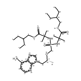 CCC(CC)COC(=O)C(C)(C)NP(=O)(CO[C@H](C)Cn1cnc2c(N)ccnc21)NC(C)(C)C(=O)OCC(CC)CC